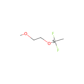 COCCO[Si](C)(F)F